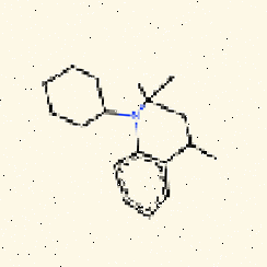 CC1CC(C)(C)N(C2CCCCC2)c2ccccc21